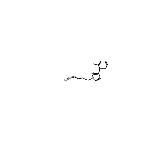 Cc1ccccc1-c1ncn(CCCN=[N+]=[N-])n1